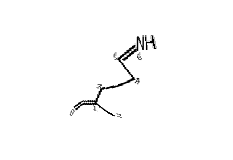 C=C(C)CCC=N